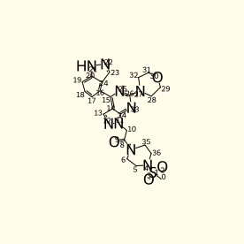 CS(=O)(=O)N1CCN(C(=O)Cn2ncc3c(-c4cccc5[nH]ncc45)nc(N4CCOCC4)nc32)CC1